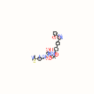 Cc1ncsc1-c1ccc([C@H](C)NC(=O)[C@@H]2C[C@@H](O)CN2C(=O)C(NC(=O)C2CCC(c3ccc(-c4cnnc(-c5ccccc5O)c4)cc3)CC2)C(C)(C)C)cc1